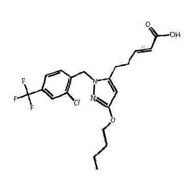 CCCCOc1cc(CC/C=C/C(=O)O)n(Cc2ccc(C(F)(F)F)cc2Cl)n1